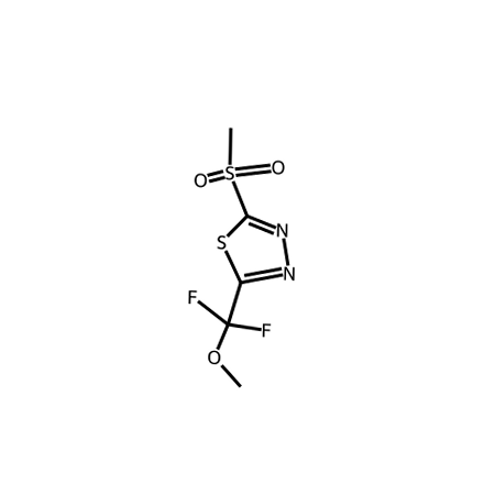 COC(F)(F)c1nnc(S(C)(=O)=O)s1